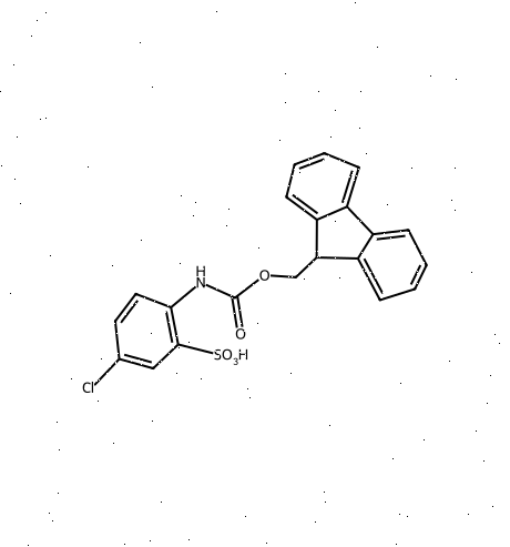 O=C(Nc1ccc(Cl)cc1S(=O)(=O)O)OCC1c2ccccc2-c2ccccc21